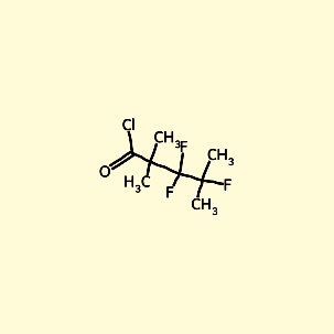 CC(C)(F)C(F)(F)C(C)(C)C(=O)Cl